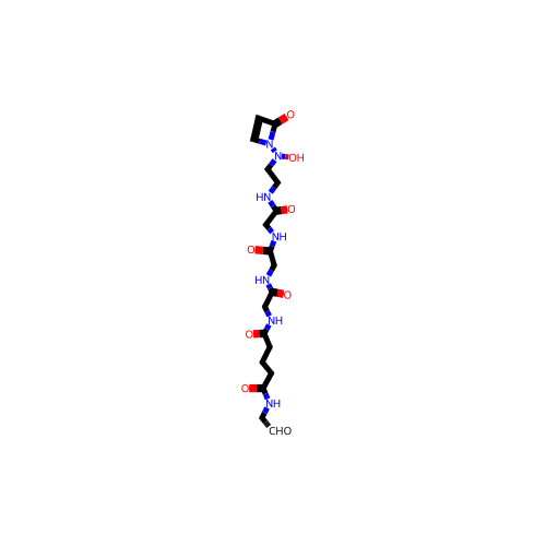 O=CCNC(=O)CCCC(=O)NCC(=O)NCC(=O)NCC(=O)NCCN(O)N1C=CC1=O